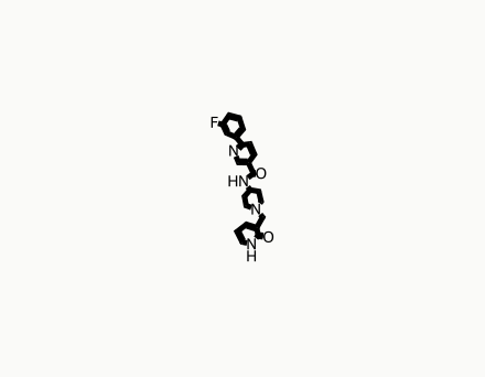 O=C(NC1CCN(Cc2ccc[nH]c2=O)CC1)c1ccc(-c2cccc(F)c2)nc1